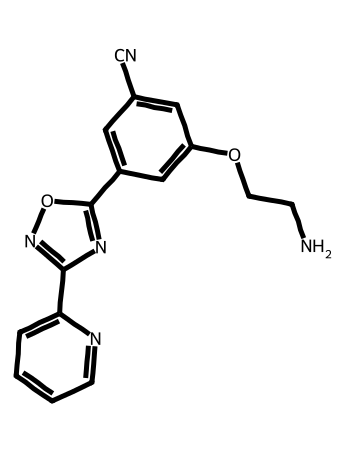 N#Cc1cc(OCCN)cc(-c2nc(-c3ccccn3)no2)c1